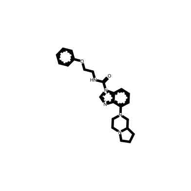 O=C(NCCOc1ccccc1)n1cnc2c(N3CCN4CCCC4C3)cccc21